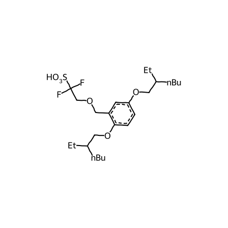 CCCCC(CC)COc1ccc(OCC(CC)CCCC)c(COCC(F)(F)S(=O)(=O)O)c1